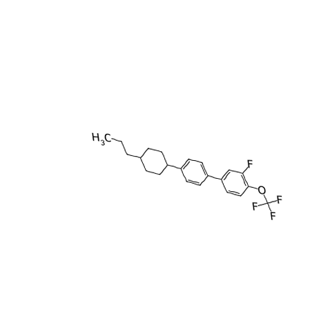 CCCC1CCC(c2ccc(-c3ccc(OC(F)(F)F)c(F)c3)cc2)CC1